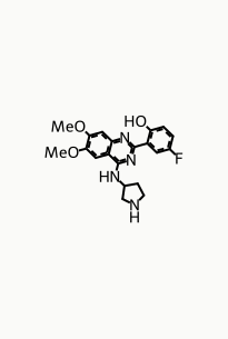 COc1cc2nc(-c3cc(F)ccc3O)nc(NC3CCNC3)c2cc1OC